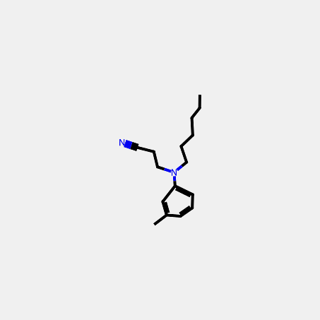 CCCCCCN(CCC#N)c1cccc(C)c1